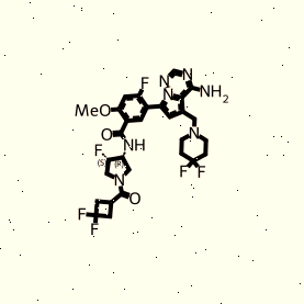 COc1cc(F)c(-c2cc(CN3CCC(F)(F)CC3)c3c(N)ncnn23)cc1C(=O)N[C@@H]1CN(C(=O)C2CC(F)(F)C2)C[C@@H]1F